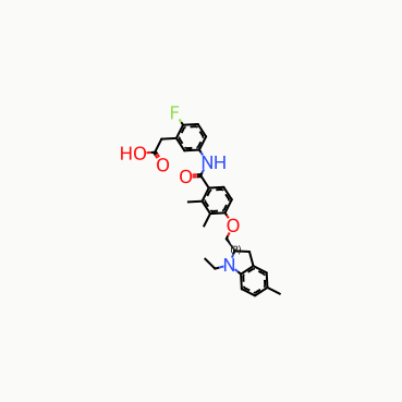 CCN1c2ccc(C)cc2C[C@@H]1COc1ccc(C(=O)Nc2ccc(F)c(CC(=O)O)c2)c(C)c1C